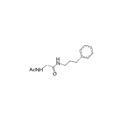 CC(=O)NCC(=O)NCCCc1ccccc1